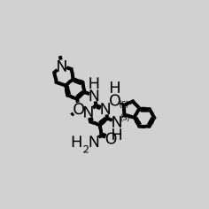 COc1cc2c(cc1Nc1ncc(C(N)=O)c(N[C@H]3c4ccccc4C[C@@H]3O)n1)CN(C)CC2